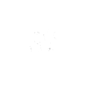 N.Nc1ccccc1-c1ccccc1